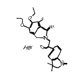 Br.CCOc1cc2c(c(F)c1OCC)C(=N)N(CC(=O)c1ccc3c(c1)C(C)(C)CN3C)C2